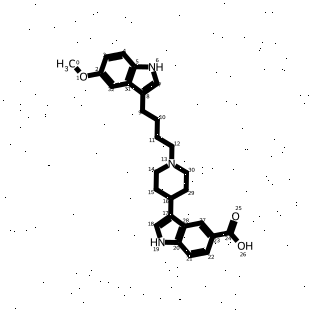 COc1ccc2[nH]cc(CCCCN3CCC(c4c[nH]c5ccc(C(=O)O)cc45)CC3)c2c1